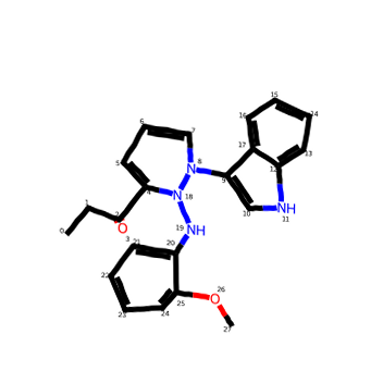 CCC(=O)C1=CC=CN(c2c[nH]c3ccccc23)N1Nc1ccccc1OC